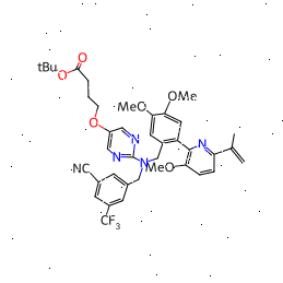 C=C(C)c1ccc(OC)c(-c2cc(OC)c(OC)cc2CN(Cc2cc(C#N)cc(C(F)(F)F)c2)c2ncc(OCCCC(=O)OC(C)(C)C)cn2)n1